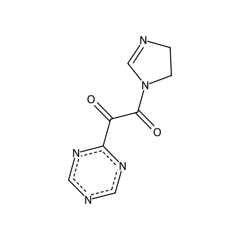 O=C(C(=O)N1C=NCC1)c1ncncn1